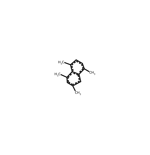 Cc1cc(C)c2c(C)ccc(C)c2c1